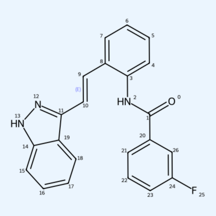 O=C(Nc1ccccc1/C=C/c1n[nH]c2ccccc12)c1cccc(F)c1